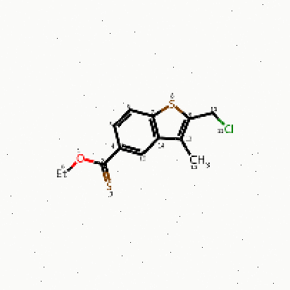 CCOC(=S)c1ccc2sc(CCl)c(C)c2c1